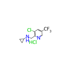 Cl.FC(F)(F)c1cnc(CNC2CC2)c(Cl)c1